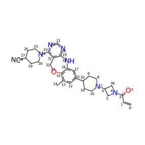 C=CC(=O)N1CC(N2CCC(c3cc(C)c4c(c3)Nc3ncnc(N5CCC(C#N)CC5)c3CO4)CC2)C1